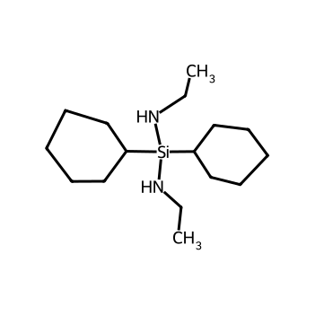 CCN[Si](NCC)(C1CCCCC1)C1CCCCC1